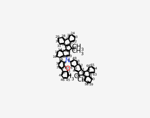 CC1(C)c2cc3cc(N(c4cc5c(c6ccccc46)-c4c(c6ccccc6c6ccccc46)C5(C)C)c4cccc5c4oc4ccccc45)ccc3cc2-c2c1c1ccccc1c1ccccc21